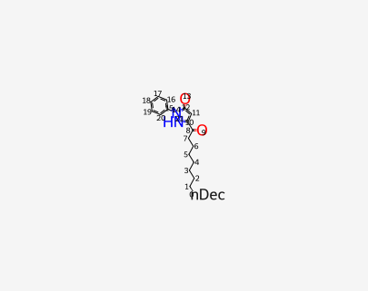 CCCCCCCCCCCCCCCCCC(=O)c1cc(=O)n(-c2ccccc2)[nH]1